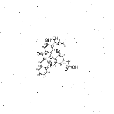 CC(C)c1cc(Oc2c(Br)cc(CC(=O)O)cc2Br)c(C(=O)c2ccc3ccccc3c2)cc1O